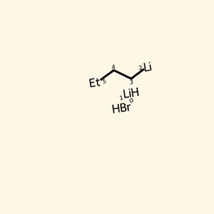 Br.[LiH].[Li][CH2]CCC